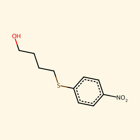 O=[N+]([O-])c1ccc(SCCCCO)cc1